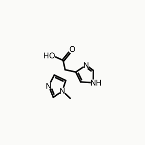 Cn1ccnc1.O=C(O)Cc1c[nH]cn1